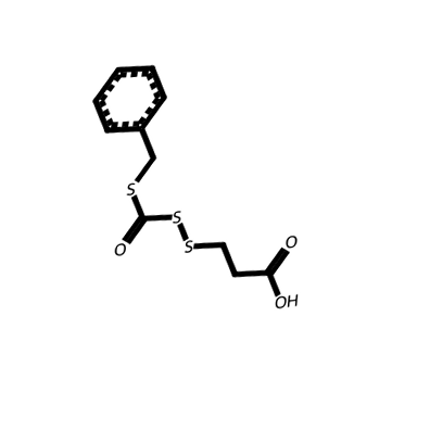 O=C(O)CCSSC(=O)SCc1ccccc1